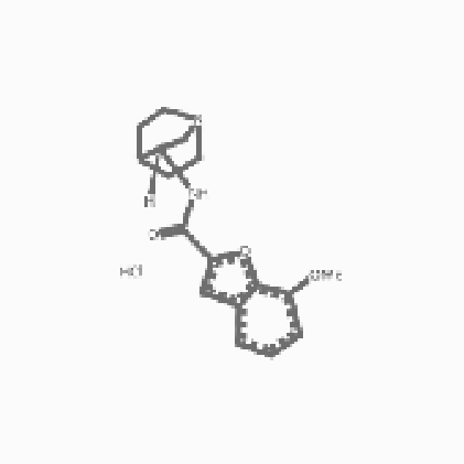 COc1cccc2cc(C(=O)N[C@H]3CN4CCC3CC4)oc12.Cl